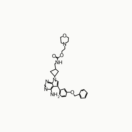 Nc1ncnc2c1c(-c1cccc(OCc3ccccc3)c1)cn2C1CC(CNC(=O)OCCN2CCOCC2)C1